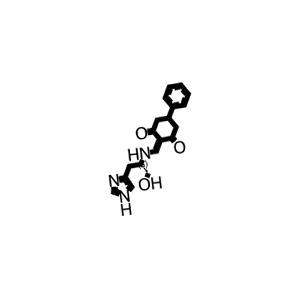 O=C1CC(c2ccccc2)CC(=O)C1=CN[C@H](CO)Cc1c[nH]cn1